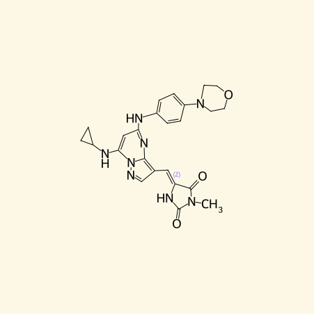 CN1C(=O)N/C(=C\c2cnn3c(NC4CC4)cc(Nc4ccc(N5CCOCC5)cc4)nc23)C1=O